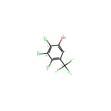 Oc1cc(C(F)(F)F)c(Cl)c(Cl)c1Cl